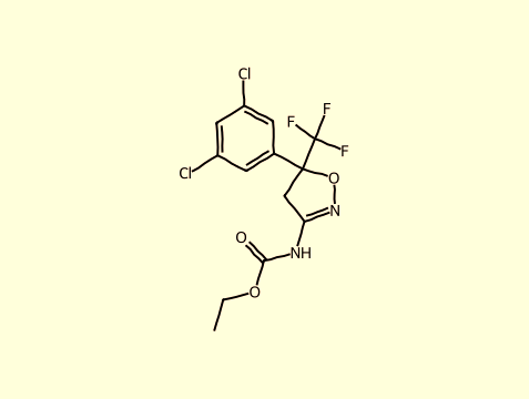 CCOC(=O)NC1=NOC(c2cc(Cl)cc(Cl)c2)(C(F)(F)F)C1